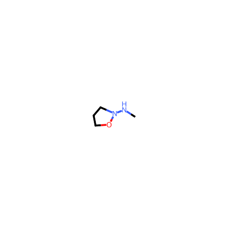 CNN1CCCO1